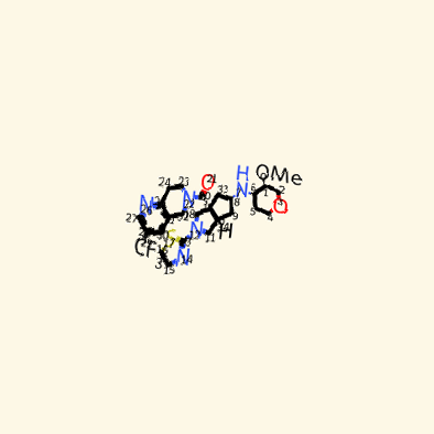 CO[C@@H]1COCC[C@@H]1N[C@@H]1C[C@H]2CN(C3=NCCS3)C[C@@]2(C(=O)N2CCc3ncc(C(F)(F)F)cc3C2)C1